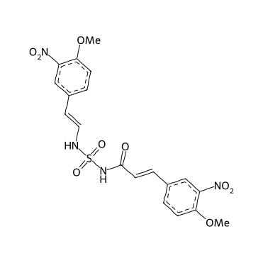 COc1ccc(/C=C/NS(=O)(=O)NC(=O)/C=C/c2ccc(OC)c([N+](=O)[O-])c2)cc1[N+](=O)[O-]